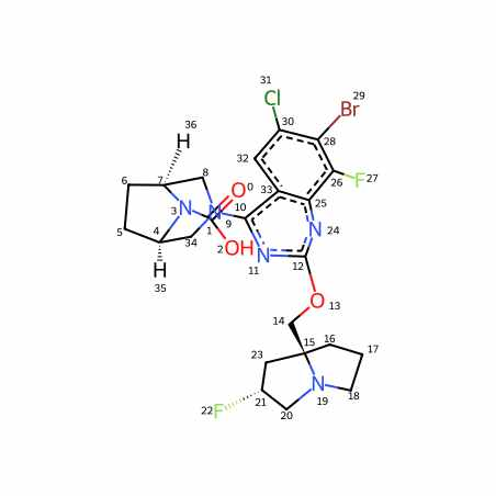 O=C(O)N1[C@@H]2CC[C@H]1CN(c1nc(OC[C@@]34CCCN3C[C@H](F)C4)nc3c(F)c(Br)c(Cl)cc13)C2